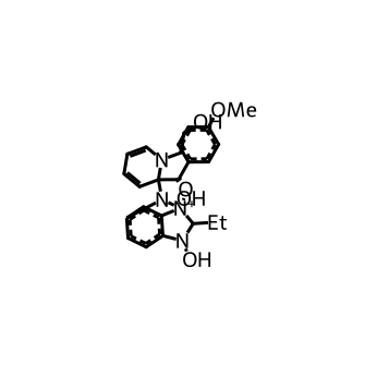 CCC1N(O)c2ccc3cc2[N+]1(O)N3C1(C(=O)c2ccc(OC)cc2)C=CC=CN1CCO